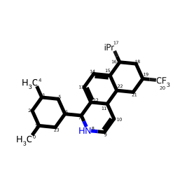 CC1CC(C)CC(C2NC=CC3C2=CC=C2C(C(C)C)CC(C(F)(F)F)CC23)C1